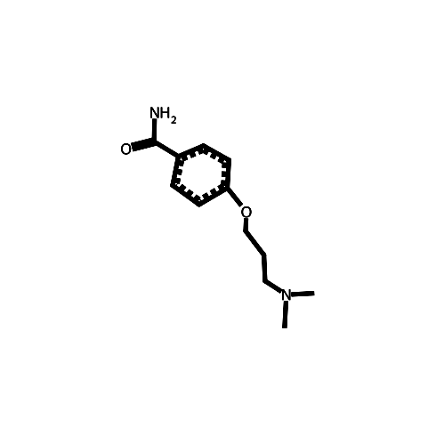 CN(C)CCCOc1ccc(C(N)=O)cc1